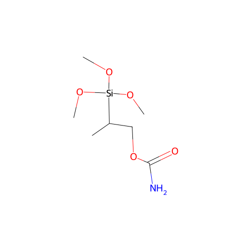 CO[Si](OC)(OC)C(C)COC(N)=O